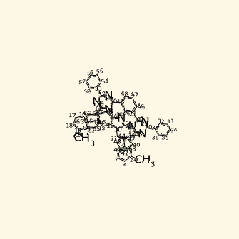 Cc1cccc(-c2ccc3c(c2)c2cc(-c4cccc(C)c4)ccc2n3-c2c(-c3nc(-c4ccccc4)nc(-c4ccccc4)n3)cccc2-c2nc(-c3ccccc3)nc(-c3ccccc3)n2)c1